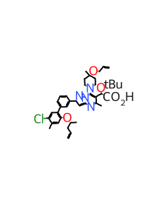 C=CCOC1(C)CCN(c2c(C(OC(C)(C)C)C(=O)O)c(C)nc3cc(-c4cccc(-c5cc(Cl)c(C)cc5OC(C)CC=C)c4)nn23)CC1